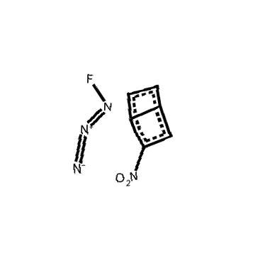 O=[N+]([O-])c1cc2ccc1-2.[N-]=[N+]=NF